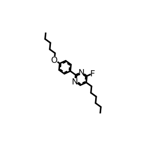 CCCCCCc1cnc(-c2ccc(OCCCCC)cc2)nc1F